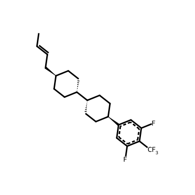 C/C=C/C[C@H]1CC[C@H]([C@H]2CC[C@H](c3cc(F)c(C(F)(F)F)c(F)c3)CC2)CC1